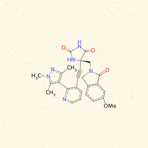 COc1ccc2c(c1)C(=O)N(C[C@@]1(C#Cc3cccnc3-c3c(C)nn(C)c3C)NC(=O)NC1=O)C2